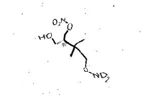 CC(C)(CO[N+](=O)[O-])[C@H](CO)O[N+](=O)[O-]